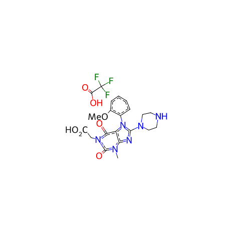 COc1ccccc1-n1c(N2CCNCC2)nc2c1c(=O)n(CC(=O)O)c(=O)n2C.O=C(O)C(F)(F)F